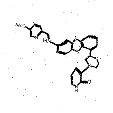 COc1ccc(CNc2ccc3c(c2)Sc2cccc(C4CN(c5ccc[nH]c5=O)CCO4)c2S3)nc1